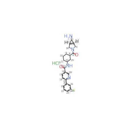 Cl.NC1[C@H]2CN(C(=O)C3CCCC(NC(=O)c4ccc(-c5cccc(F)c5)nc4)C3)C[C@@H]12